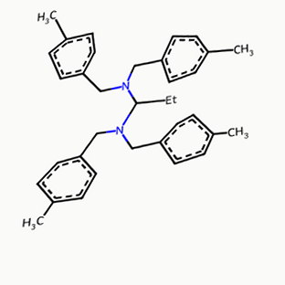 CCC(N(Cc1ccc(C)cc1)Cc1ccc(C)cc1)N(Cc1ccc(C)cc1)Cc1ccc(C)cc1